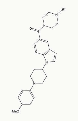 COc1ccc(N2CCC(n3ccc4cc(C(=O)N5CCN(C(C)C)CC5)ccc43)CC2)cc1